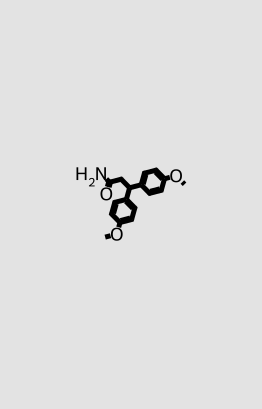 COc1ccc(C(CC(N)=O)c2ccc(OC)cc2)cc1